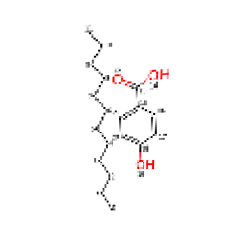 CCCCCCCCCCCC.O=C(O)c1ccc(O)cc1